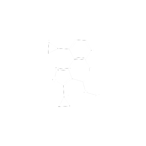 CCOCc1c(-c2c(F)cccc2C2CC2)noc1C1CC1